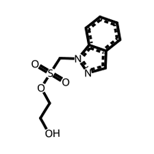 O=S(=O)(Cn1ncc2ccccc21)OCCO